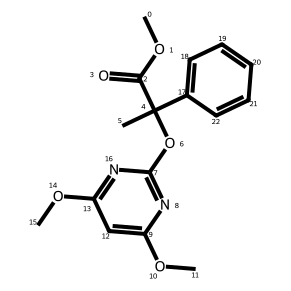 COC(=O)C(C)(Oc1nc(OC)cc(OC)n1)c1ccccc1